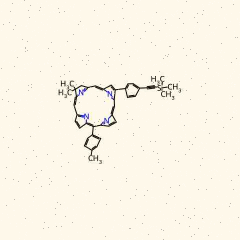 Cc1ccc(C2=C3C=CC(=N3)C=C3N=C(C=C4C=C(c5ccc(C#C[Si](C)(C)C)cc5)C(=N4)C=C4C=CC2=N4)CC3(C)C)cc1